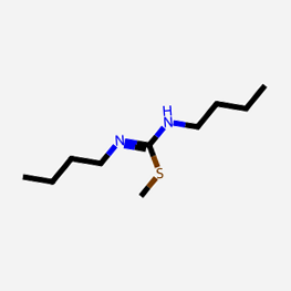 CCCC/N=C(/NCCCC)SC